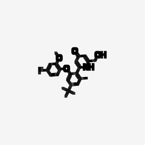 COc1cc(F)ccc1Oc1cc(C(C)(C)C)cc(C)c1-c1cc(=O)cc(CO)[nH]1